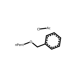 CC(=O)Cl.CCCCCOCc1ccccc1